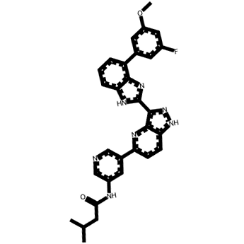 COc1cc(F)cc(-c2cccc3[nH]c(-c4n[nH]c5ccc(-c6cncc(NC(=O)CC(C)C)c6)nc45)nc23)c1